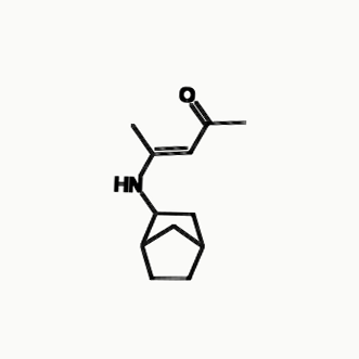 CC(=O)C=C(C)NC1CC2CCC1C2